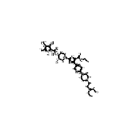 CCOC(=O)c1sc(N2CC[C@@H](NC(=O)c3[nH]c(C)c(Cl)c3Cl)[C@@H](C)C2)nc1-c1cnc(N2CCN(CCN(CC)CC)CC2)cn1